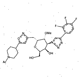 CO[C@@H]1[C@@H](n2cc(-c3ccc(F)c(F)c3F)nn2)[C@@H](O)[C@@H](CO)O[C@@H]1Cc1cc(C2CCN(C(C)=O)CC2)on1